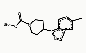 CC(C)(C)OC(=O)N1CCC(n2ncc3cc(I)ccc32)CC1